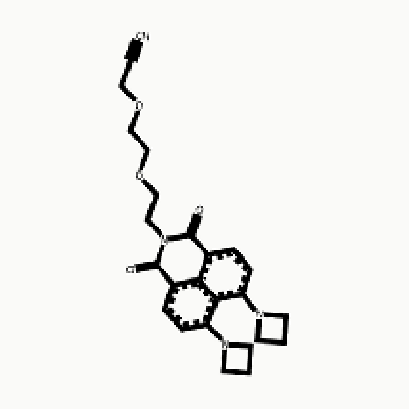 C#CCOCCOCCN1C(=O)c2ccc(N3CCC3)c3c(N4CCC4)ccc(c23)C1=O